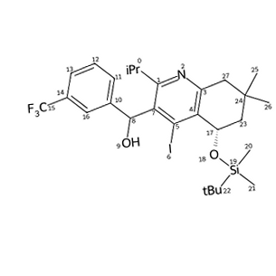 CC(C)c1nc2c(c(I)c1C(O)c1cccc(C(F)(F)F)c1)[C@@H](O[Si](C)(C)C(C)(C)C)CC(C)(C)C2